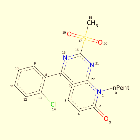 CCCCCn1c(=O)ccc2c(-c3ccccc3Cl)nc(S(C)(=O)=O)nc21